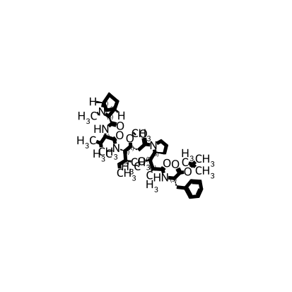 CC[C@H](C)[C@@H]([C@@H](CC(=O)N1CCC[C@H]1[C@H](OC)[C@@H](C)C(=O)N[C@@H](Cc1ccccc1)C(=O)OC(C)(C)C)OC)N(C)C(=O)[C@@H](NC(=O)[C@@H]1[C@H]2CC[C@H](C2)N1C)C(C)C